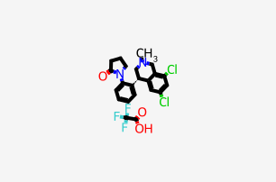 CN1Cc2c(Cl)cc(Cl)cc2[C@H](c2ccccc2N2CCCC2=O)C1.O=C(O)C(F)(F)F